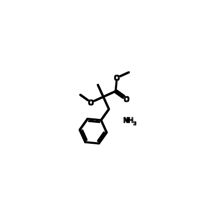 COC(=O)C(C)(Cc1ccccc1)OC.N